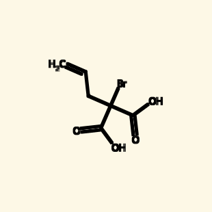 C=CCC(Br)(C(=O)O)C(=O)O